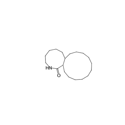 O=C1NCCCCCC2CCCCCCCCCCCC12